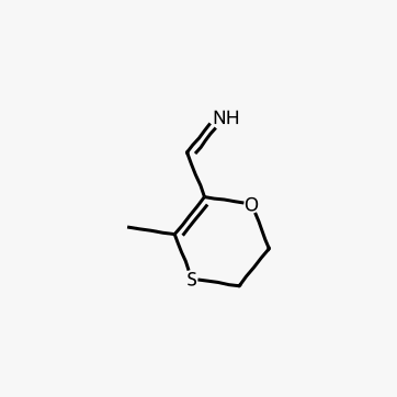 CC1=C(C=N)OCCS1